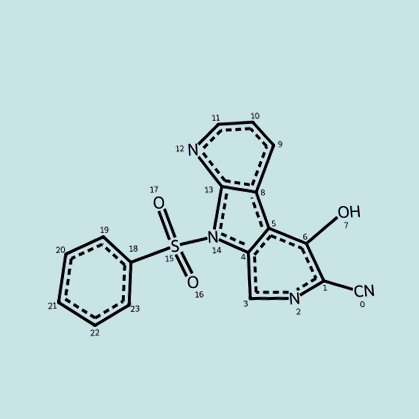 N#Cc1ncc2c(c1O)c1cccnc1n2S(=O)(=O)c1ccccc1